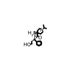 CC(C)N1CCC(N)(C(=O)N[C@H](CCO)c2ccccc2)CC1